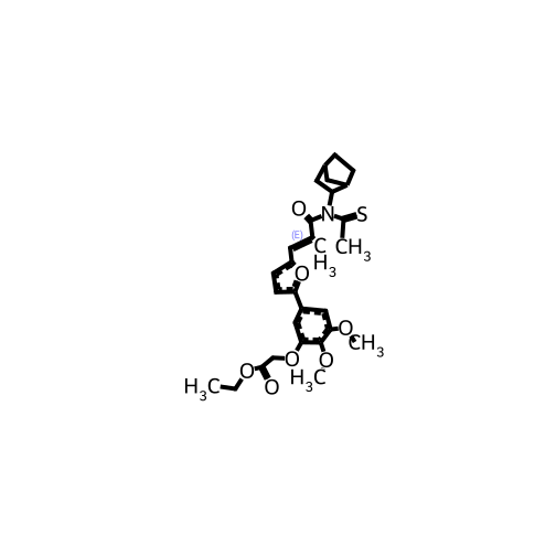 CCOC(=O)COc1cc(-c2ccc(/C=C(\C)C(=O)N(C(C)=S)C3CC4CCC3C4)o2)cc(OC)c1OC